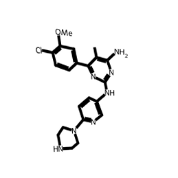 COc1cc(-c2nc(Nc3ccc(N4CCNCC4)nc3)nc(N)c2C)ccc1Cl